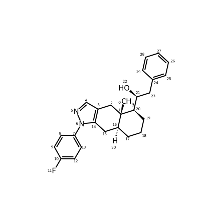 C[C@]12Cc3cnn(-c4ccc(F)cc4)c3C[C@@H]1CCC[C@@H]2[C@@H](O)Cc1ccccc1